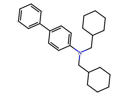 [c]1cc[c]c(-c2ccc(N(CC3CCCCC3)CC3CCCCC3)cc2)c1